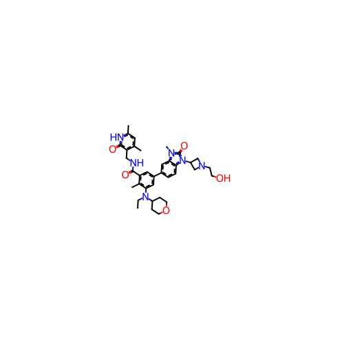 CCN(c1cc(-c2ccc3c(c2)n(C)c(=O)n3C2CN(CCO)C2)cc(C(=O)NCc2c(C)cc(C)[nH]c2=O)c1C)C1CCOCC1